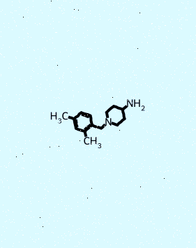 Cc1ccc(CN2CCC(N)CC2)c(C)c1